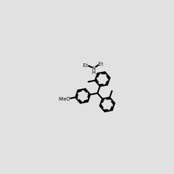 CCNCC.COc1ccc(C(c2ccccc2C)c2ccccc2C)cc1